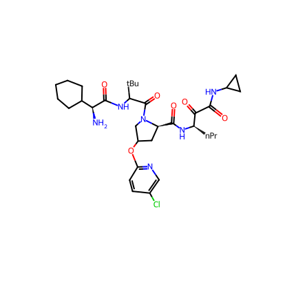 CCC[C@@H](NC(=O)[C@H]1CC(Oc2ccc(Cl)cn2)CN1C(=O)C(NC(=O)[C@@H](N)C1CCCCC1)C(C)(C)C)C(=O)C(=O)NC1CC1